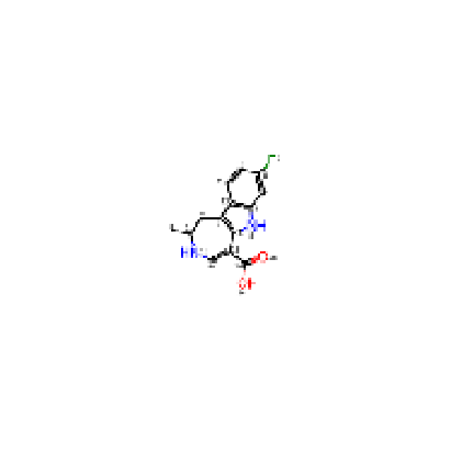 CC1Cc2c([nH]c3cc(F)ccc23)C(C(=O)O)=CN1